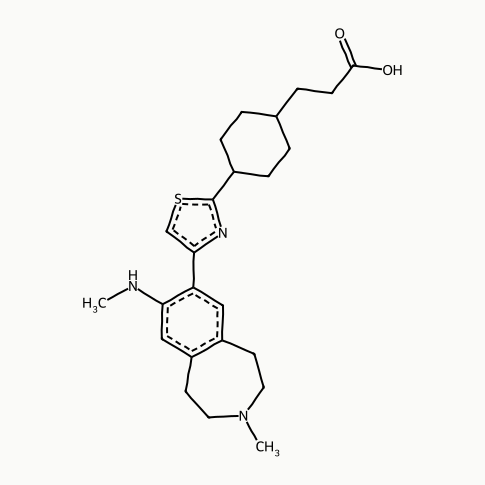 CNc1cc2c(cc1-c1csc(C3CCC(CCC(=O)O)CC3)n1)CCN(C)CC2